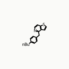 CCCCc1ccc(Cc2nccc3sccc23)cc1